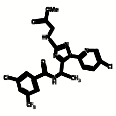 COC(=O)CNc1nc(C(C)NC(=O)c2cc(Cl)cc(C(F)(F)F)c2)n(-c2ccc(Cl)cn2)n1